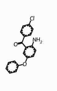 Nc1ccc(Oc2ccccc2)cc1C(=O)c1ccc(Cl)cc1